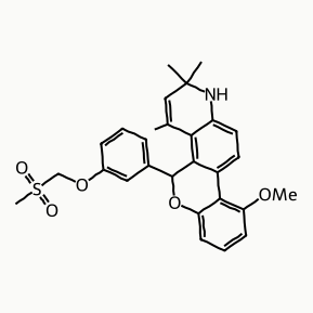 COc1cccc2c1-c1ccc3c(c1C(c1cccc(OCS(C)(=O)=O)c1)O2)C(C)=CC(C)(C)N3